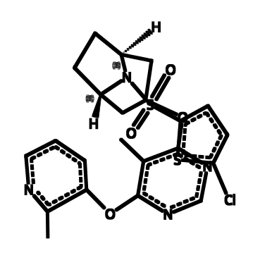 Cc1ncccc1Oc1ncnc(OC2C[C@@H]3CC[C@@H](C2)N3S(=O)(=O)c2ccc(Cl)s2)c1C